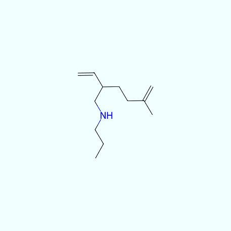 C=CC(CCC(=C)C)CNCCC